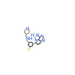 CN1CCC(CNCc2cc(F)cc(-c3ccc4ncnc(N)c4n3)c2)CC1